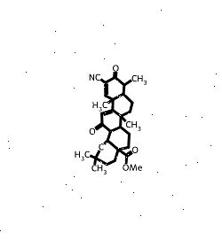 COC(=O)C12CCC3C(C(=O)C=C4C5(C)C=C(C#N)C(=O)C(C)C5CCC43C)C1CC(C)(C)CC2